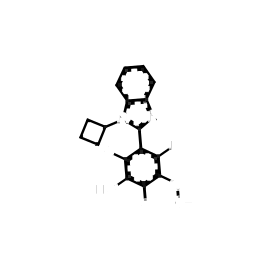 COc1c(O)c(O)c(C)c(-c2nc3ccccc3n2C2CCC2)c1F